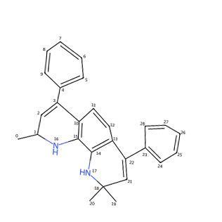 CC1C=C(c2ccccc2)c2ccc3c(c2N1)NC(C)(C)C=C3c1ccccc1